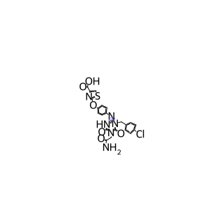 NC(=O)Cn1c(=O)[nH]/c(=N\c2ccc(Oc3nc(C(=O)O)cs3)cc2)n(Cc2ccc(Cl)cc2)c1=O